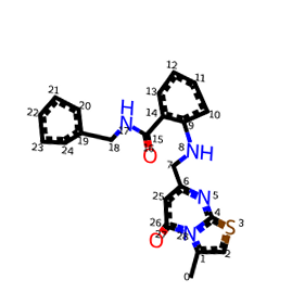 Cc1csc2nc(CNc3ccccc3C(=O)NCc3ccccc3)cc(=O)n12